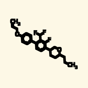 C=CCOc1ccc(-c2ccc(C3CCC(CCC)OC3)c(F)c2C(F)F)cc1